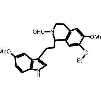 CCOc1cc2c(cc1OC)CCN(C=O)C2CCc1c[nH]c2ccc(OC)cc12